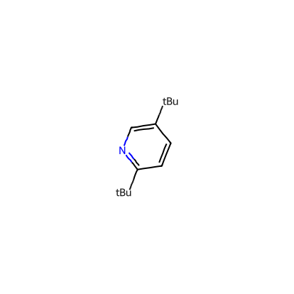 CC(C)(C)c1ccc(C(C)(C)C)nc1